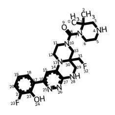 CC1(C)CNCCN1C(=O)N1CCN2c3cc(-c4cccc(F)c4O)nnc3NCC2(CF)C1